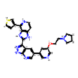 c1cc2[nH]c(-c3n[nH]c4ncc(-c5cncc(OCCN6CCCC6)c5)cc34)nc2c(-c2ccsc2)n1